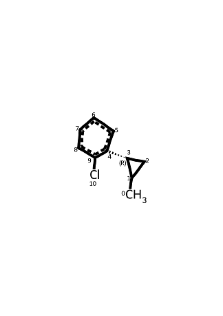 CC1C[C@H]1c1ccccc1Cl